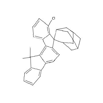 CC1(C)c2ccccc2-c2ccc3c(c21)-c1cccc(Cl)c1C31C2CC3CC(C2)CC1C3